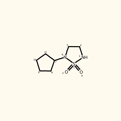 O=S1(=O)NCCN1C1CCCC1